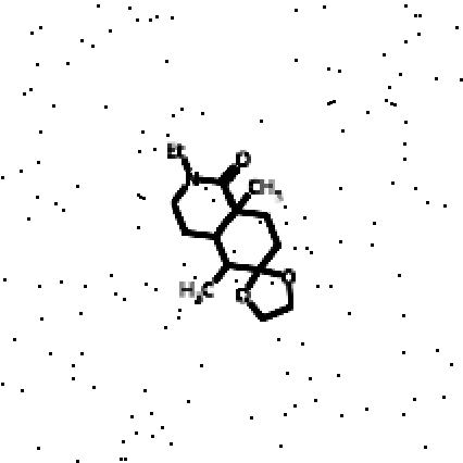 CCN1CCC2C(C)C3(CCC2(C)C1=O)OCCO3